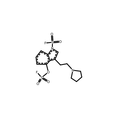 O=S(=O)(F)Oc1cccc2c1c(CCN1CCCC1)cn2S(=O)(=O)F